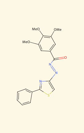 COc1cc(C(=O)N=Nc2csc(-c3ccccc3)n2)cc(OC)c1OC